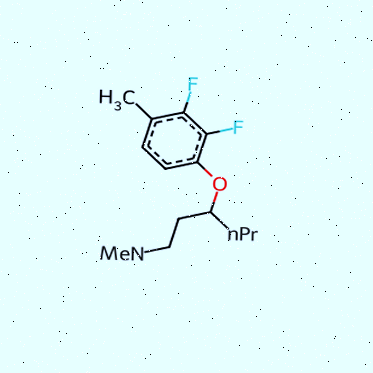 CCCC(CCNC)Oc1ccc(C)c(F)c1F